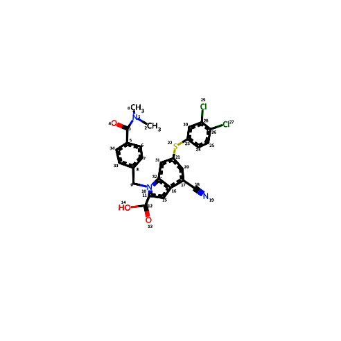 CN(C)C(=O)c1ccc(Cn2c(C(=O)O)cc3c(C#N)cc(Sc4ccc(Cl)c(Cl)c4)cc32)cc1